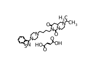 CC(C)N1CCN2C(=O)N(CCCCN3CCN(c4nsc5ccccc45)CC3)C(=O)CC2C1.O=C(O)/C=C/C(=O)O